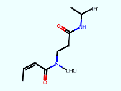 C/C=C\C(=O)N(C=O)CCC(=O)NC(C)C(C)C